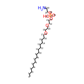 CCCCCCCCCCCCCCCCCCOCCOCCOP(=O)(O)OCCN